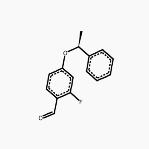 C[C@H](Oc1ccc(C=O)c(F)c1)c1ccccc1